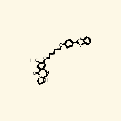 Cc1cc2c(cc1OCCCCCOc1ccc(-c3nc4ccccc4o3)cc1)N=C[C@@H]1CCCN1C2=O